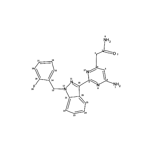 NC(=O)Cc1cc(N)nc(-c2nn(Cc3ccccc3F)c3ccccc23)n1